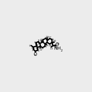 CC1=CC(=O)C=C2C1=CC=C1C2(C)CCC2(C)C3CC(C)(C(C)C(N)=O)CCC3(C)CCC12C